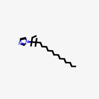 CCCCCCCCCCCCCC(C)(C)C(C)(CC)n1ccnc1